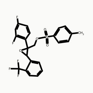 Cc1ccc(S(=O)(=O)OCC2(c3ccc(F)cc3F)OC2c2ccccc2C(F)(F)F)cc1